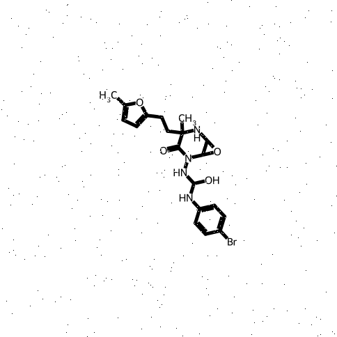 Cc1ccc(CCC2(C)NC3OC3N(NC(O)Nc3ccc(Br)cc3)C2=O)o1